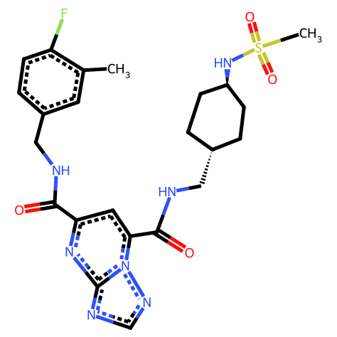 Cc1cc(CNC(=O)c2cc(C(=O)NC[C@H]3CC[C@H](NS(C)(=O)=O)CC3)n3ncnc3n2)ccc1F